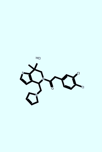 CC1(C)CN(C(=O)Cc2ccc(Cl)c(Cl)c2)C(CN2CC=CC2)c2ccsc21.Cl